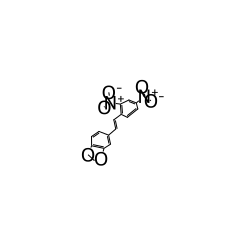 O=[N+]([O-])c1ccc(/C=C/c2ccc3c(c2)OCO3)c([N+](=O)[O-])c1